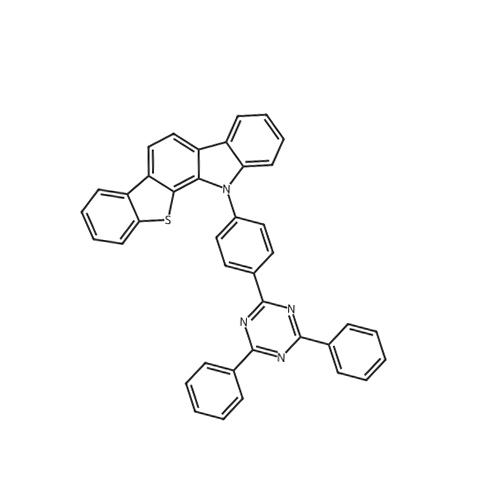 c1ccc(-c2nc(-c3ccccc3)nc(-c3ccc(-n4c5ccccc5c5ccc6c7ccccc7sc6c54)cc3)n2)cc1